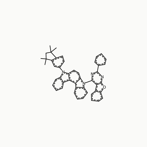 CC1(C)CC(C)(C)c2cc(-n3c4ccccc4c4c5c6ccccc6n(-c6nc(-c7ccccc7)nc7oc8ccccc8c67)c5ccc43)ccc21